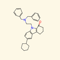 O=C1CCCc2c1n(CCN(Cc1ccccc1)Cc1ccccc1)c1ccc(C3CCCCC3)cc21